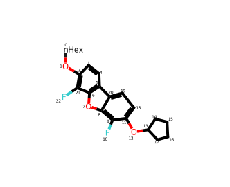 CCCCCCOc1ccc2c(oc3c(F)c(OC4CCCC4)ccc32)c1F